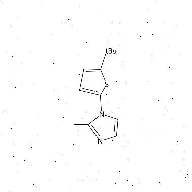 Cc1nccn1-c1ccc(C(C)(C)C)s1